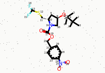 CC(C)(C)[Si](C)(C)O[C@@H]1C[C@@H](CSC(F)F)N(C(=O)OCc2ccc([N+](=O)[O-])cc2)C1